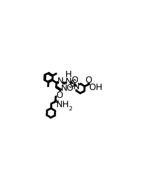 Cc1cccc(C)c1-c1cc(OC[C@H](N)CC2CCCCC2)nc(NS(=O)(=O)N2CCCC(C(=O)O)C2)n1